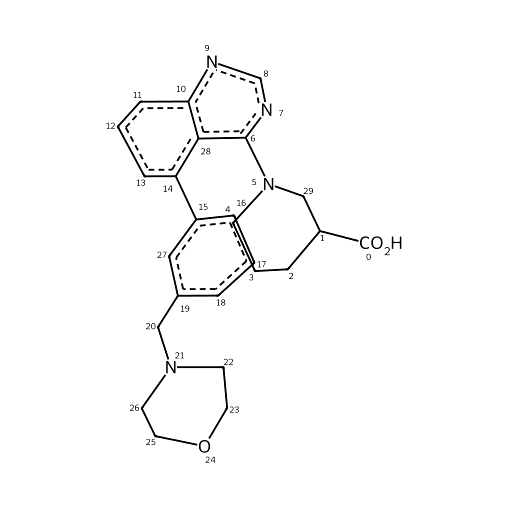 O=C(O)C1CCCN(c2ncnc3cccc(-c4cccc(CN5CCOCC5)c4)c23)C1